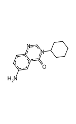 Nc1ccc2ncn(C3CCCCC3)c(=O)c2c1